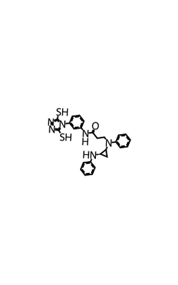 O=C(CCN(c1ccccc1)C1C[C@H]1Nc1ccccc1)Nc1cccc(-n2c(S)nnc2S)c1